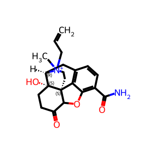 C=CC[N+]1(C)CC[C@]23c4c5ccc(C(N)=O)c4OC2C(=O)CC[C@@]3(O)[C@H]1C5